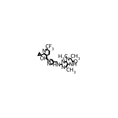 Cc1nc(NCc2cnn(Cc3ccc(C(F)(F)F)nc3C3(O)C=C3)c2)nc2c1NC(=O)[C@H](C)N2C